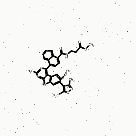 COC(=O)CCNC(=O)c1ccc(-c2nc(C)nc3[nH]c4cc(-c5c(C)noc5C)c(OC)cc4c23)c2ccccc12